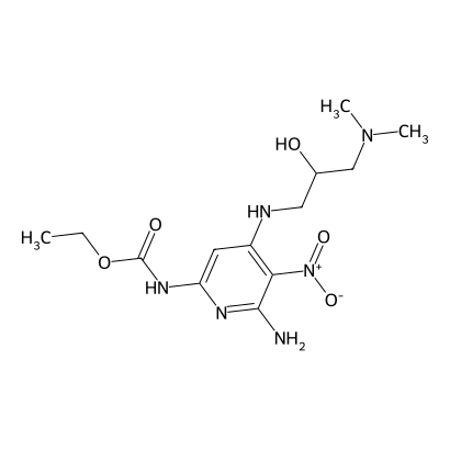 CCOC(=O)Nc1cc(NCC(O)CN(C)C)c([N+](=O)[O-])c(N)n1